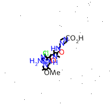 COc1c(C)cnc(CN2C(=O)C(=Cc3[nH]c(C)c(C(=O)NCCN4CCN(C(=O)O)CC4)c3C)c3c(Cl)nc(N)nc32)c1C